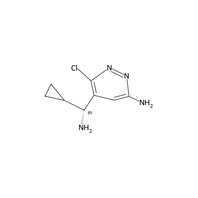 Nc1cc([C@H](N)C2CC2)c(Cl)nn1